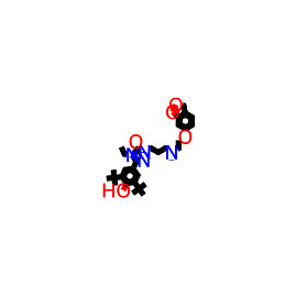 CCn1c(-c2cc(C(C)(C)C)c(O)c(C(C)(C)C)c2)nn(CCCN(C)CCOc2ccc3c(c2)OOC3)c1=O